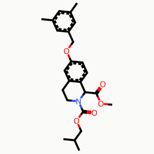 COC(=O)C1c2ccc(OCc3cc(C)cc(C)c3)cc2CCN1C(=O)OCC(C)C